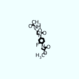 COC1CN(c2ccc(N3C[C@H](CNC(C)=O)OC3=O)cc2F)C1=O